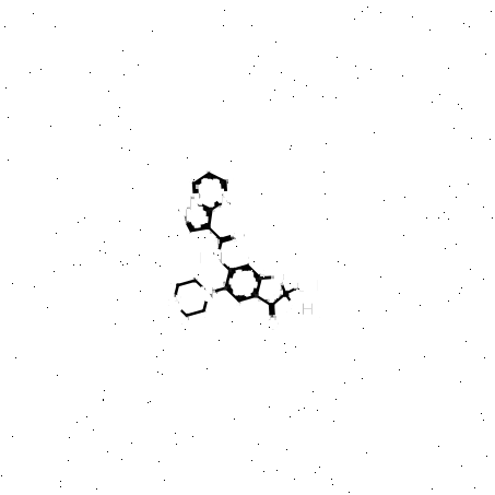 CC1(C)Oc2cc(NC(=O)c3cnn4cccnc34)c(N3CCOCC3)cc2C1=O